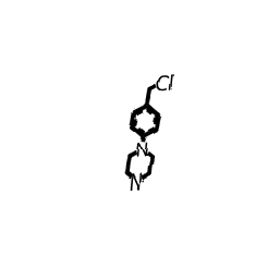 ClCc1ccc(N2CC[N]CC2)cc1